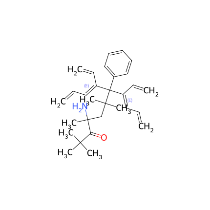 C=C/C=C(\C=C)C(/C(C=C)=C/C=C)(c1ccccc1)C(C)(C)CC(C)(N)C(=O)C(C)(C)C